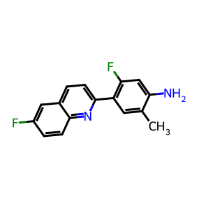 Cc1cc(-c2ccc3cc(F)ccc3n2)c(F)cc1N